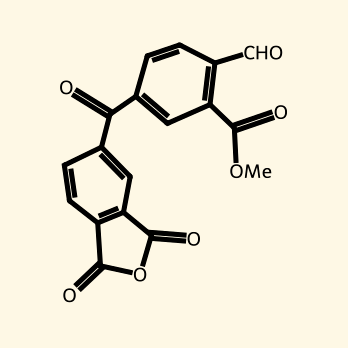 COC(=O)c1cc(C(=O)c2ccc3c(c2)C(=O)OC3=O)ccc1C=O